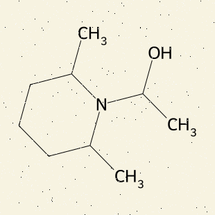 CC(O)N1C(C)CCCC1C